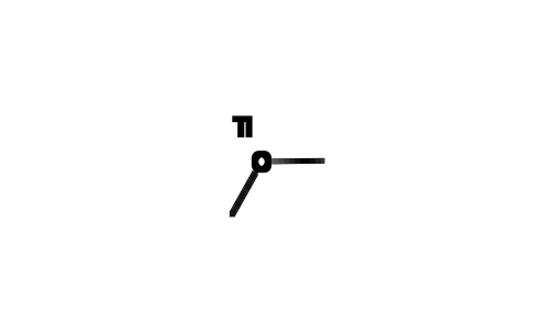 COC.[Ti]